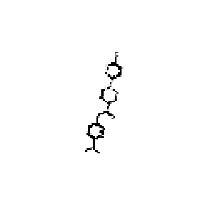 CN(C)c1ccc(CC(=O)N2CCN(c3ccc(Cl)nn3)CC2)nn1